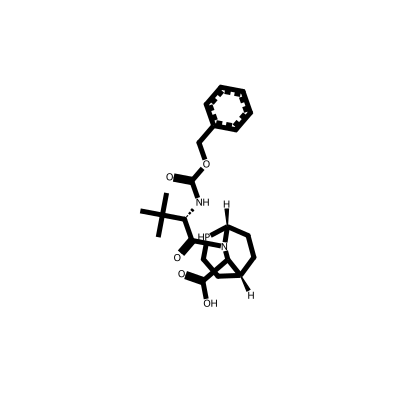 CC(C)(C)[C@H](NC(=O)OCc1ccccc1)C(=O)N1C(C(=O)O)[C@H]2CCP[C@@H]1CC2